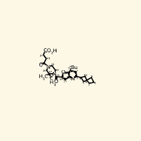 CC(C)(C)c1cc(C2CC3(CCC3)C2)nc2cc(C(=O)N3CCN(C(=O)CCC(=O)O)CC3(C)C)oc12